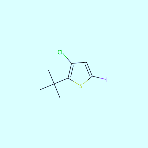 CC(C)(C)c1sc(I)cc1Cl